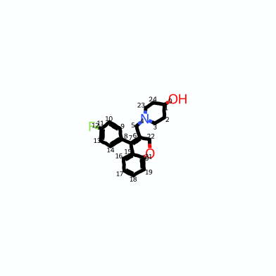 OC1CCN(CC2=C(c3ccc(F)cc3)c3ccccc3OC2)CC1